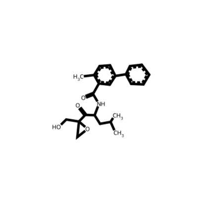 Cc1ccc(-c2ccccc2)cc1C(=O)NC(CC(C)C)C(=O)C1(CO)CO1